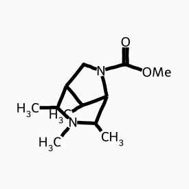 COC(=O)N1CC2C(C)C1C(C)N(C)C2C